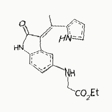 CCOC(=O)CNc1ccc2c(c1)C(=C(C)c1ccc[nH]1)C(=O)N2